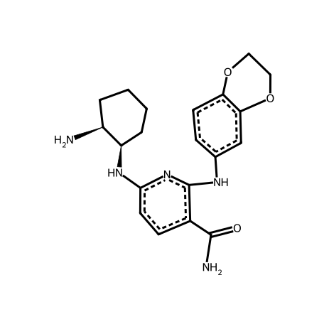 NC(=O)c1ccc(N[C@@H]2CCCC[C@@H]2N)nc1Nc1ccc2c(c1)OCCO2